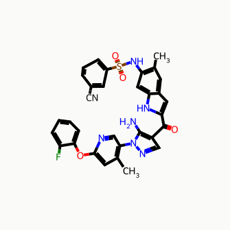 Cc1cc2cc(C(=O)c3cnn(-c4cnc(Oc5ccccc5F)cc4C)c3N)[nH]c2cc1NS(=O)(=O)c1cccc(C#N)c1